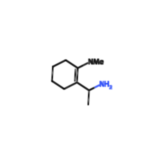 CNC1=C(C(C)N)CCCC1